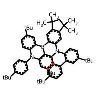 CC(C)(C)c1ccc(-c2cc(C(C)(C)C)ccc2N2c3cc4c(cc3B3c5cc(C(C)(C)C)ccc5N(c5ccc(C(C)(C)C)cc5)c5cc(C(C)(C)C)cc2c53)C(C)(C)CC4(C)C)cc1